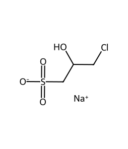 O=S(=O)([O-])CC(O)CCl.[Na+]